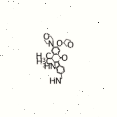 CC1(C)c2cc(N3CCOCC3)c(OC3CCOC3)cc2C(=O)c2c1[nH]c1cc(C=N)ccc21